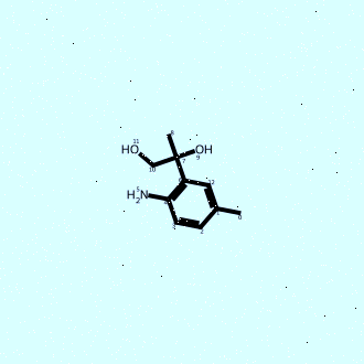 Cc1ccc(N)c(C(C)(O)CO)c1